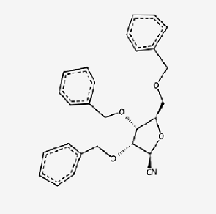 N#C[C@@H]1O[C@H](COCc2ccccc2)[C@@H](OCc2ccccc2)[C@H]1OCc1ccccc1